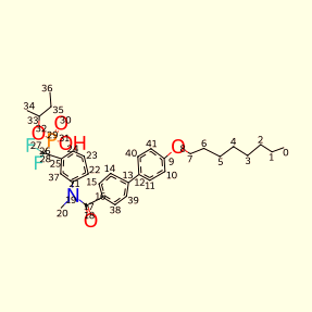 CCCCCCCCOc1ccc(-c2ccc(C(=O)N(C)c3cccc(C(F)(F)P(=O)(O)OC(C)CC)c3)cc2)cc1